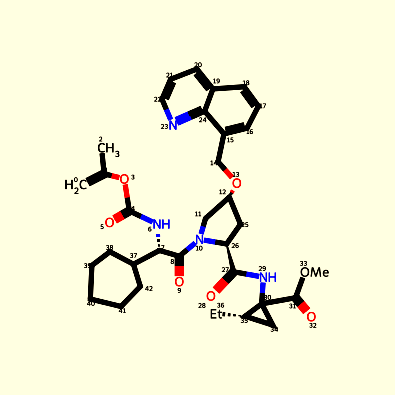 C=C(C)OC(=O)N[C@H](C(=O)N1C[C@H](OCc2cccc3cccnc23)C[C@H]1C(=O)NC1(C(=O)OC)C[C@@H]1CC)C1CCCCC1